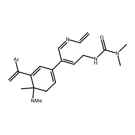 C=C/N=C\C(=C/CNC(=O)N(C)C)C1=CCC(C)(NC)C(C(=C)C(C)=O)=C1